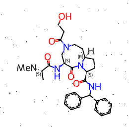 CN[C@@H](C)C(=O)N[C@H]1CN(C(=O)CCO)CC[C@H]2CC[C@@H](C(=O)NC(c3ccccc3)c3ccccc3)N2C1=O